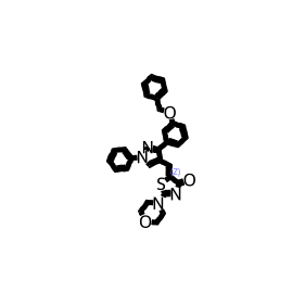 O=C1N=C(N2CCOCC2)S/C1=C\c1cn(-c2ccccc2)nc1-c1cccc(OCc2ccccc2)c1